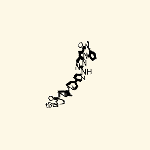 CN(C)C(=O)c1cc2cnc(Nc3ccc(C4CCN(C5CN(C(=O)OC(C)(C)C)C5)CC4)cn3)nc2n1C1CCCC1